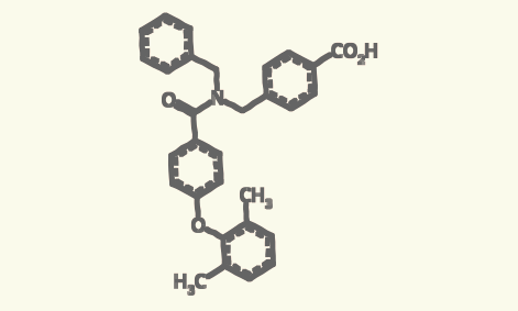 Cc1cccc(C)c1Oc1ccc(C(=O)N(Cc2ccccc2)Cc2ccc(C(=O)O)cc2)cc1